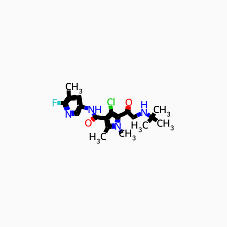 Cc1cc(NC(=O)c2c(Cl)c(C(=O)CNC(C)(C)C)n(C)c2C)cnc1F